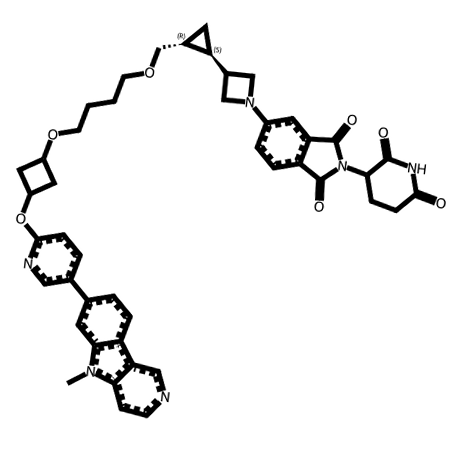 Cn1c2ccncc2c2ccc(-c3ccc(OC4CC(OCCCCOC[C@@H]5C[C@H]5C5CN(c6ccc7c(c6)C(=O)N(C6CCC(=O)NC6=O)C7=O)C5)C4)nc3)cc21